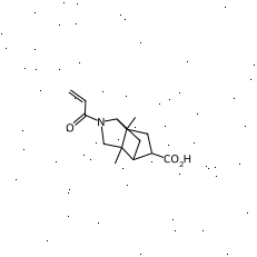 C=CC(=O)N1CC2(C)C3CC1C2(C)CC3C(=O)O